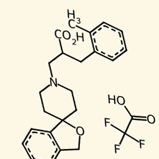 Cc1ccccc1CC(CN1CCC2(CC1)OCc1ccccc12)C(=O)O.O=C(O)C(F)(F)F